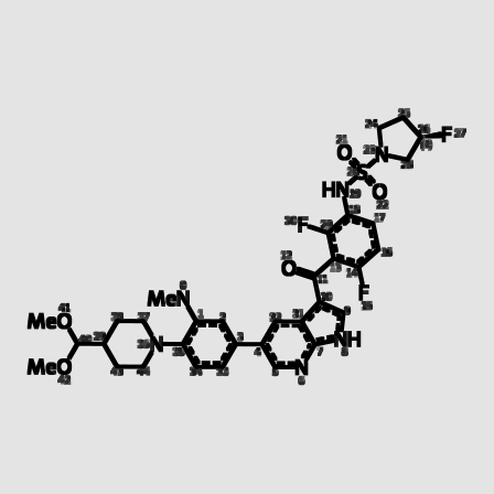 CNc1cc(-c2cnc3[nH]cc(C(=O)c4c(F)ccc(NS(=O)(=O)N5CC[C@@H](F)C5)c4F)c3c2)ccc1N1CCC(C(OC)OC)CC1